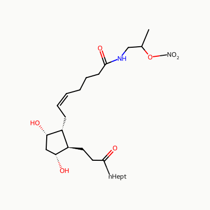 CCCCCCCC(=O)CC[C@@H]1[C@@H](C/C=C\CCCC(=O)NCC(C)O[N+](=O)[O-])[C@@H](O)C[C@H]1O